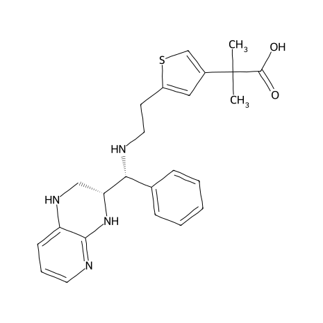 CC(C)(C(=O)O)c1csc(CCN[C@H](c2ccccc2)[C@H]2CNc3cccnc3N2)c1